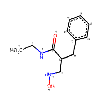 O=C(O)CNC(=O)C(CNO)Cc1ccccc1